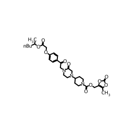 CCCCC(C)OC(=O)COc1ccc(C(=O)CN2CCN(C3CCN(C(=O)OCc4oc(=O)oc4C)CC3)CC2=O)cc1